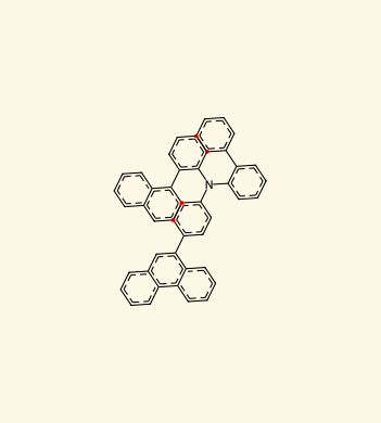 c1ccc(-c2ccccc2N(c2ccc(-c3cc4ccccc4c4ccccc34)cc2)c2ccccc2-c2cccc3ccccc23)cc1